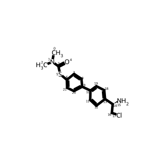 CN(C)C(=O)Sc1ccc(-c2ccc([C@H](N)CCl)cc2)cc1